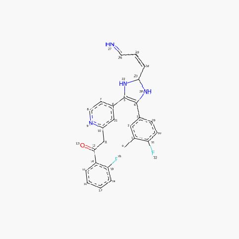 Cc1cc(C2=C(c3ccnc(CC(=O)c4ccccc4F)c3)NC(/C=C\C=N)N2)ccc1F